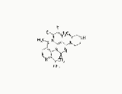 CSc1ccnc(C(C)C)c1-n1c(=O)nc(N2CCNC[C@@H]2C)c2cc(F)c(Cl)nc21